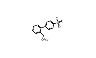 COCc1ccccc1-c1ccc(S(=O)(=O)Cl)cc1